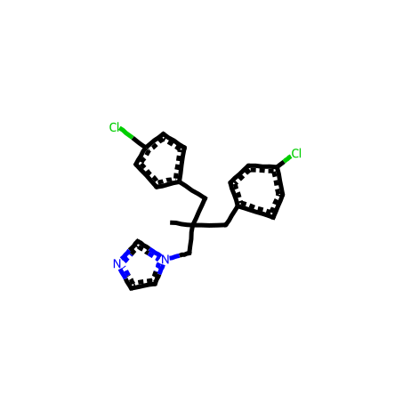 CC(Cc1ccc(Cl)cc1)(Cc1ccc(Cl)cc1)Cn1ccnc1